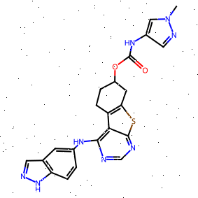 Cn1cc(NC(=O)OC2CCc3c(sc4ncnc(Nc5ccc6[nH]ncc6c5)c34)C2)cn1